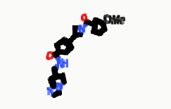 COc1cccc(C(=O)N2CC(c3ccc(C(=O)NCc4ccn5ccnc5c4)cc3)C2)c1